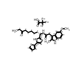 CCC(=O)CCCCC[C@H](NC(=O)Cc1c(C)[nH]c2ccc(OC)cc12)c1ncc(-c2cccs2)[nH]1.O=C(O)C(F)(F)F